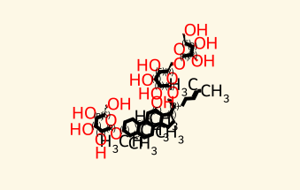 CC(C)=CCC[C@@H](CO[C@@H]1O[C@H](CO[C@@H]2O[C@@H](CO)[C@H](O)[C@H]2O)[C@@H](O)[C@H](O)[C@H]1O)[C@H]1CCC2(C)C1[C@@H](O)C[C@@H]1C2(C)CC[C@@H]2C(C)(C)[C@H](O[C@@H]3O[C@@H](CO)[C@H](O)[C@@H](O)[C@@H]3O)CC[C@]21C